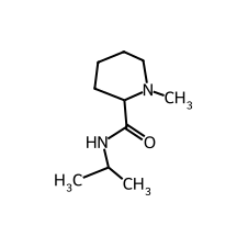 CC(C)NC(=O)C1CCCCN1C